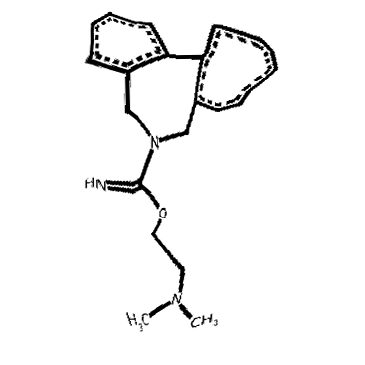 CN(C)CCOC(=N)N1Cc2ccccc2-c2ccccc2C1